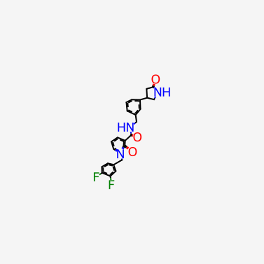 O=C1CC(c2cccc(CNC(=O)c3cccn(Cc4ccc(F)c(F)c4)c3=O)c2)CN1